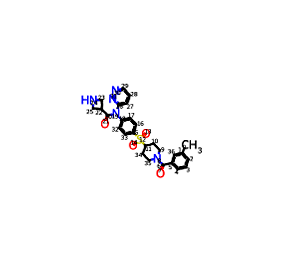 Cc1cccc(C(=O)N2CCC(S(=O)(=O)c3ccc(N(C(=O)C4CNC4)c4cccnn4)cc3)CC2)c1